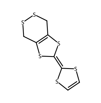 C1=CSC(=C2SC3=C(CSSC3)S2)S1